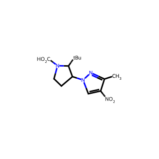 Cc1nn(C2CCN(C(=O)O)C2C(C)(C)C)cc1[N+](=O)[O-]